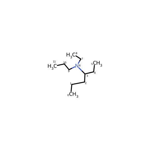 CCCC(CC)N(CC)CCC